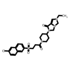 CCN1C=C2C(=O)N(C3CCN(C(=O)CCS(=O)(=O)c4ccc5cc(Cl)ccc5c4)CC3)CN2C1